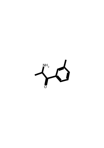 Cc1cccc(C(=O)C(C)N)c1